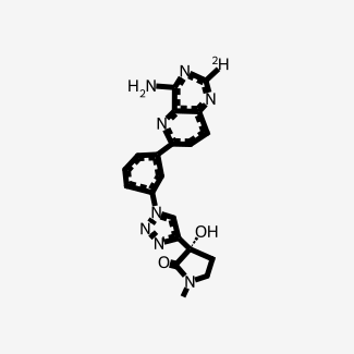 [2H]c1nc(N)c2nc(-c3cccc(-n4cc([C@@]5(O)CCN(C)C5=O)nn4)c3)ccc2n1